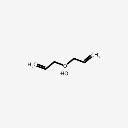 C=CCOCC=C.[OH]